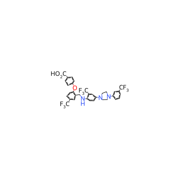 O=C(O)c1ccc(Oc2ccc(C(F)(F)F)cc2CNc2ccc(N3CCN(c4cccc(C(F)(F)F)c4)CC3)cc2C(F)(F)F)cc1